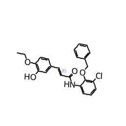 CCOc1ccc(/C=C/C(=O)Nc2cccc(Cl)c2OCc2ccccc2)cc1O